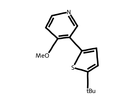 COc1ccncc1-c1ccc(C(C)(C)C)s1